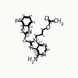 CC(=O)OCCCn1c(Sc2nc3cccc(F)c3s2)nc2c(N)ncnc21